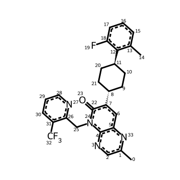 Cc1cnc2c(cc([C@H]3CC[C@H](c4c(C)cccc4F)CC3)c(=O)n2Cc2ncccc2C(F)(F)F)n1